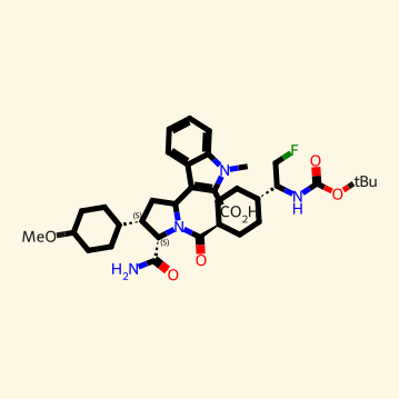 COC1CCC([C@@H]2CC(c3c(C(=O)O)n(C)c4ccccc34)N(C(=O)[C@H]3CC[C@H](C(CF)NC(=O)OC(C)(C)C)CC3)[C@@H]2C(N)=O)CC1